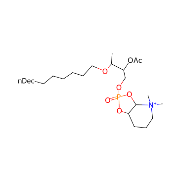 CCCCCCCCCCCCCCCCOC(C)C(COP1(=O)OC2CCC[N+](C)(C)C2O1)OC(C)=O